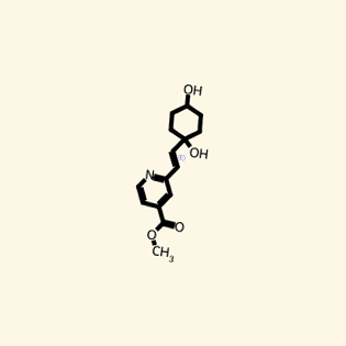 COC(=O)c1ccnc(/C=C/C2(O)CCC(O)CC2)c1